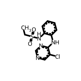 CCS(=O)(=O)Nc1ccccc1Nc1ncncc1Cl